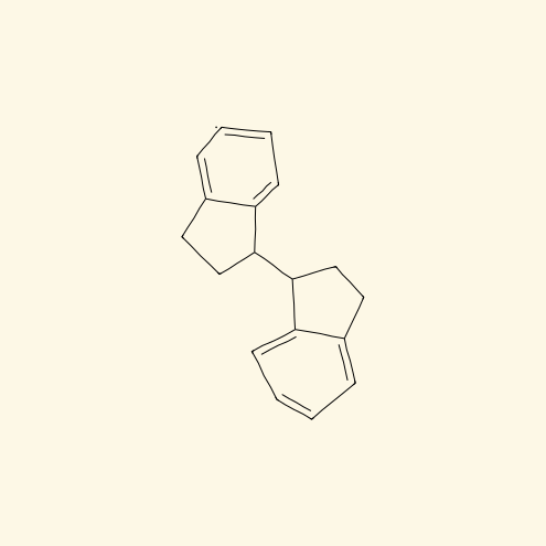 [c]1ccc2c(c1)CCC2C1CCc2ccccc21